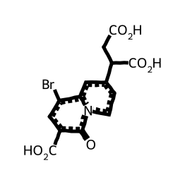 O=C(O)CC(C(=O)O)c1ccn2c(=O)c(C(=O)O)cc(Br)c2c1